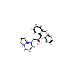 O=C(C[N+]1=C2CCCN2CCC1)c1c2ccccc2cc2ccccc12